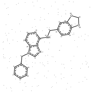 c1ccc(Cn2cnc3c(NCc4ccc5c(c4)OCO5)nccc32)cc1